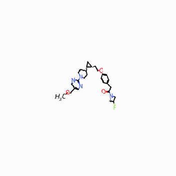 COCc1cnc(N2CCC([C@H]3C[C@H]3CCOc3ccc(CC(=O)N4CC(F)C4)cc3)CC2)nc1